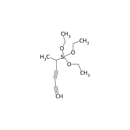 C#CC#CC(C)[Si](OCC)(OCC)OCC